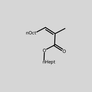 CCCCCCCCC=C(C)C(=O)OCCCCCCC